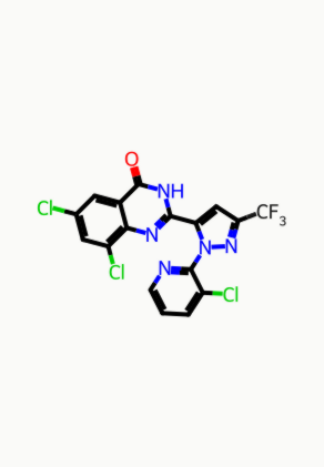 O=c1[nH]c(-c2cc(C(F)(F)F)nn2-c2ncccc2Cl)nc2c(Cl)cc(Cl)cc12